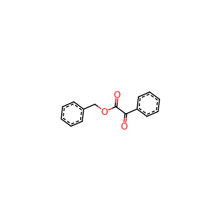 O=C(OCc1ccccc1)C(=O)c1ccccc1